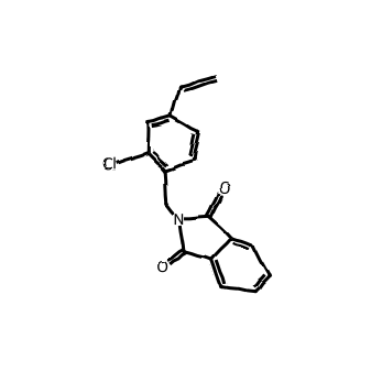 C=Cc1ccc(CN2C(=O)c3ccccc3C2=O)c(Cl)c1